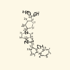 Cc1c(-c2ccccc2)cccc1-c1nc2c(s1)CN(C1CCC(C(O)O)CC1)CC2